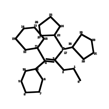 CCCC(=C(C1CCCCC1)C1CCCCC1)P(C1CCCC1)C1CCCC1